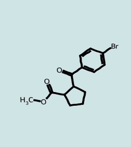 COC(=O)C1CCCC1C(=O)c1ccc(Br)cc1